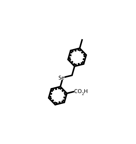 Cc1ccc(C[Se]c2ccccc2C(=O)O)cc1